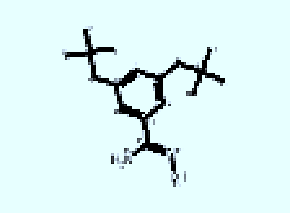 CC(C)(C)Cc1cc(CC(C)(C)C)cc(/C(N)=N/O)c1